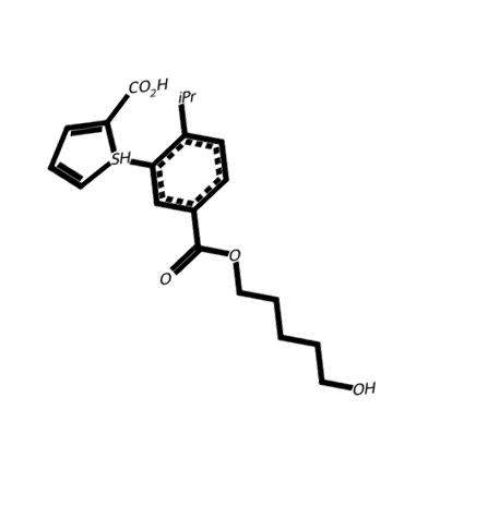 CC(C)c1ccc(C(=O)OCCCCCO)cc1[SH]1C=CC=C1C(=O)O